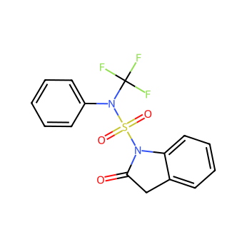 O=C1Cc2ccccc2N1S(=O)(=O)N(c1ccccc1)C(F)(F)F